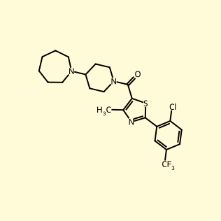 Cc1nc(-c2cc(C(F)(F)F)ccc2Cl)sc1C(=O)N1CCC(N2CCCCCC2)CC1